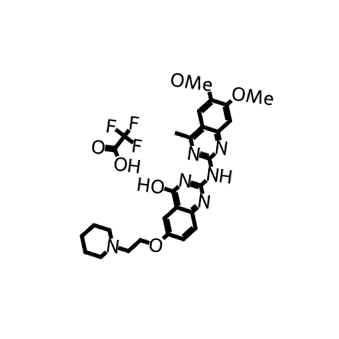 COc1cc2nc(Nc3nc(O)c4cc(OCCN5CCCCC5)ccc4n3)nc(C)c2cc1OC.O=C(O)C(F)(F)F